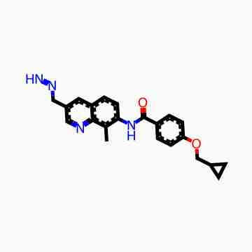 Cc1c(NC(=O)c2ccc(OCC3CC3)cc2)ccc2cc(CN=N)cnc12